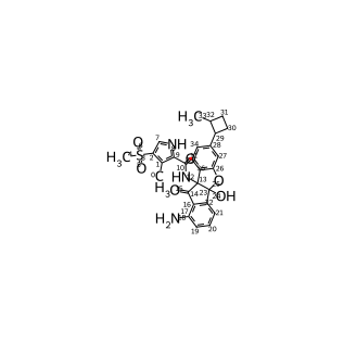 Cc1c(S(C)(=O)=O)c[nH]c1C(=O)NC12C(=O)c3c(N)cccc3C1(O)Oc1cc(C3CCC3C)ccc12